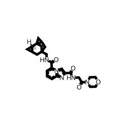 O=C(NCC(=O)N1CCOCC1)c1cn2c(C(=O)NCC34CC5C[C@@H]5C5(CC5C3)C4)cccc2n1